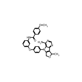 COc1ccc(C(=O)Nc2cccc(Oc3ccc(-n4c5c(c6ncnc(N)c64)C(C)OC5)cc3)c2)cc1